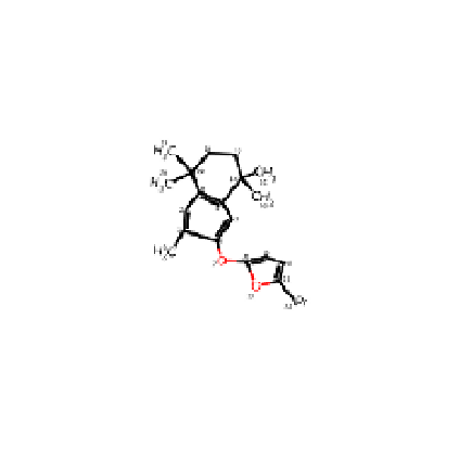 Cc1cc2c(cc1Oc1ccc(C(C)C)o1)C(C)(C)CCC2(C)C